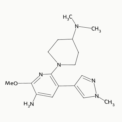 COc1nc(N2CCC(N(C)C)CC2)c(-c2cnn(C)c2)cc1N